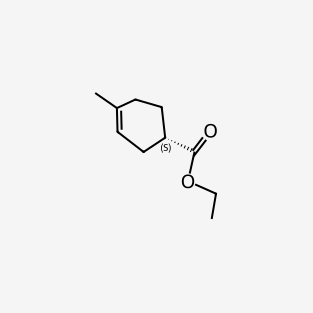 CCOC(=O)[C@@H]1CC=C(C)CC1